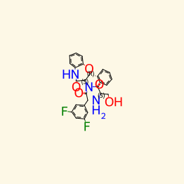 N[C@@H](CO)C(=O)N(C(=O)Cc1cc(F)cc(F)c1)[C@@H]1C(=O)Nc2ccccc2O[C@@H]1c1ccccc1